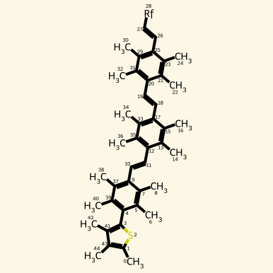 Cc1sc(-c2c(C)c(C)c(C=Cc3c(C)c(C)c(C=Cc4c(C)c(C)c(C=[CH][Rf])c(C)c4C)c(C)c3C)c(C)c2C)c(C)c1C